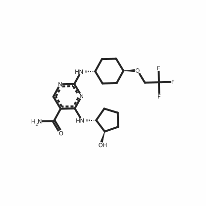 NC(=O)c1cnc(N[C@H]2CC[C@H](OCC(F)(F)F)CC2)nc1N[C@@H]1CCC[C@H]1O